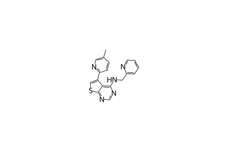 Cc1ccc(-c2csc3ncnc(NCc4ccccn4)c23)nc1